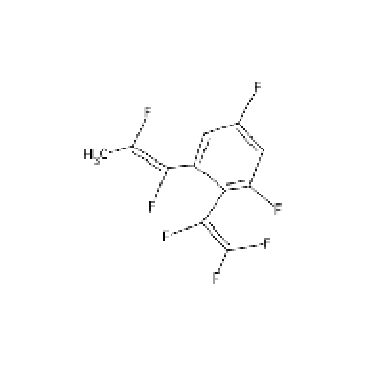 C/C(F)=C(\F)c1cc(F)cc(F)c1C(F)=C(F)F